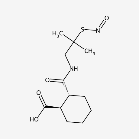 CC(C)(CNC(=O)[C@@H]1CCCC[C@H]1C(=O)O)SN=O